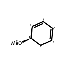 CO[C@H]1C=CC=CC1